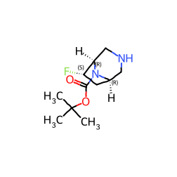 CC(C)(C)OC(=O)N1[C@H]2CNC[C@@H]1[C@@H](F)C2